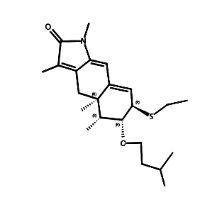 CCS[C@@H]1C=C2C=C3C(=C(C)C(=O)N3C)C[C@]2(C)[C@@H](C)[C@H]1OCCC(C)C